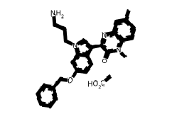 CC(=O)O.Cc1ccc2c(c1)nc(-c1cn(CCCN)c3cc(OCc4ccccc4)ccc13)c(=O)n2C